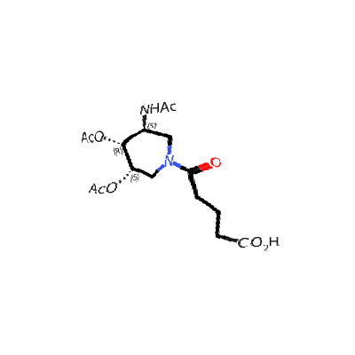 CC(=O)N[C@H]1CN(C(=O)CCCC(=O)O)C[C@H](OC(C)=O)[C@@H]1OC(C)=O